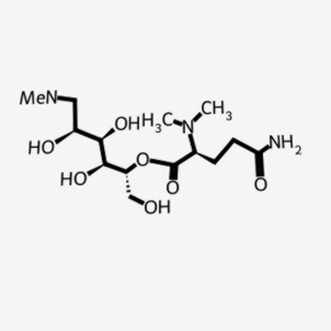 CNC[C@H](O)[C@@H](O)[C@H](O)[C@@H](CO)OC(=O)[C@H](CCC(N)=O)N(C)C